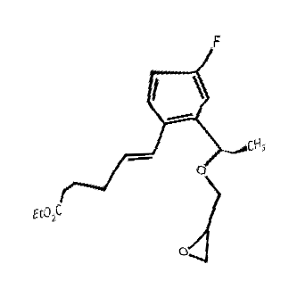 CCOC(=O)CC/C=C/c1ccc(F)cc1[C@@H](C)OCC1CO1